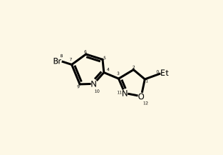 CCC1CC(c2ccc(Br)cn2)=NO1